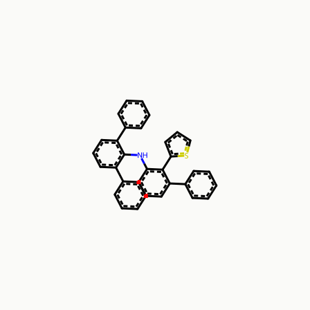 c1ccc(-c2cccc(-c3ccccc3)c2Nc2cccc(-c3ccccc3)c2-c2cccs2)cc1